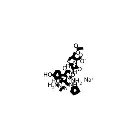 CC(=O)OCC1=C(C(=O)[O-])N2C(=O)C(NC(=O)C(c3ccc(O)cc3)N(C(N)=O)C3=C(Nc4ccccc4)N=C(C)N(N)C3(C)O)[C@@H]2SC1.[Na+]